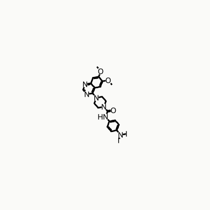 COc1cc2ncnc(N3CCN(C(=O)Nc4ccc(N(I)I)cc4)CC3)c2cc1OC